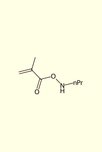 C=C(C)C(=O)ONCCC